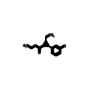 CCOC(=O)C1[C@@H](c2cccc(Cl)c2)[C@H]1CC